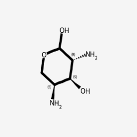 N[C@H]1COC(O)[C@H](N)[C@H]1O